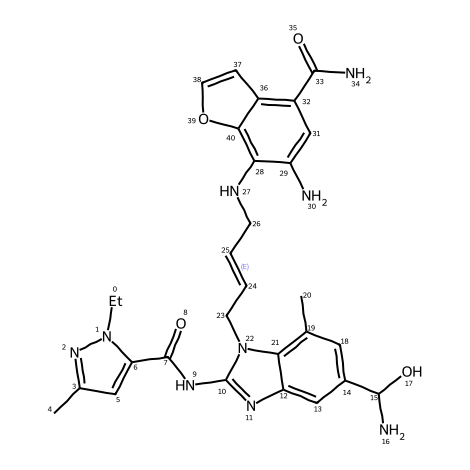 CCn1nc(C)cc1C(=O)Nc1nc2cc(C(N)O)cc(C)c2n1C/C=C/CNc1c(N)cc(C(N)=O)c2ccoc12